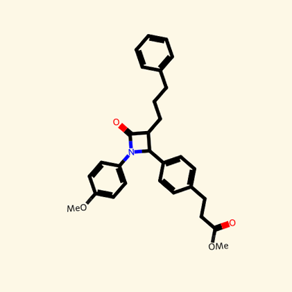 COC(=O)CCc1ccc(C2C(CCCc3ccccc3)C(=O)N2c2ccc(OC)cc2)cc1